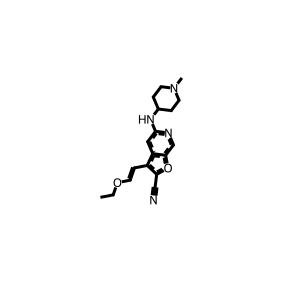 CCO/C=C/c1c(C#N)oc2cnc(NC3CCN(C)CC3)cc12